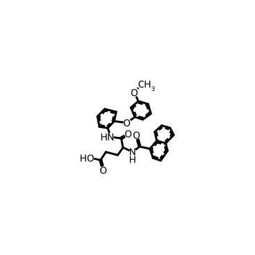 COc1cccc(Oc2ccccc2NC(=O)C(CCC(=O)O)NC(=O)c2cccc3ccccc23)c1